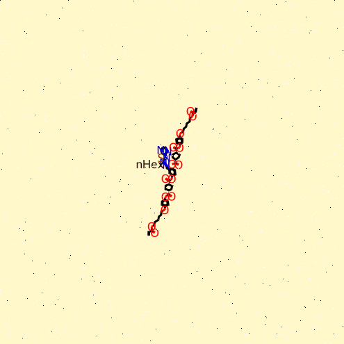 C=CC(=O)OCCCCCCOc1ccc(OC(=O)[C@H]2CC[C@H](C(=O)Oc3ccc(OC(=O)[C@H]4CC[C@H](C(=O)Oc5ccc(OCCCCCCOC(=O)C=C)cc5)CC4)c(/C=N/N(CCCCCC)c4nc5nccnc5s4)c3)CC2)cc1